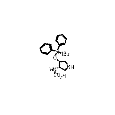 CC(C)(C)[Si](O[C@H]1CNC[C@@H]1NC(=O)O)(c1ccccc1)c1ccccc1